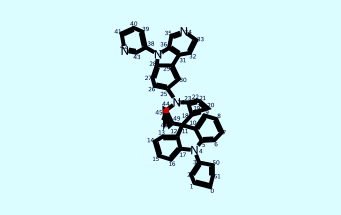 c1ccc(N2c3ccccc3C3(c4ccccc42)c2ccccc2N(c2ccc4c(c2)c2ccncc2n4-c2cccnc2)c2ccccc23)cc1